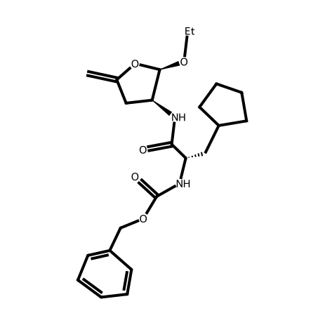 C=C1C[C@H](NC(=O)[C@H](CC2CCCC2)NC(=O)OCc2ccccc2)[C@H](OCC)O1